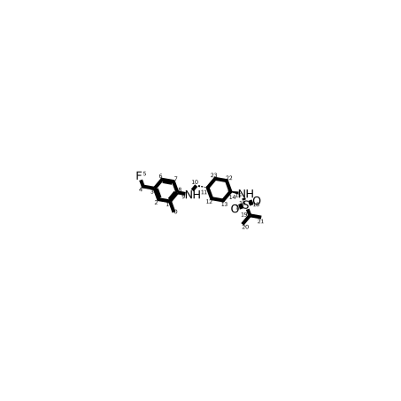 Cc1cc(CF)ccc1NC[C@H]1CC[C@H](NS(=O)(=O)C(C)C)CC1